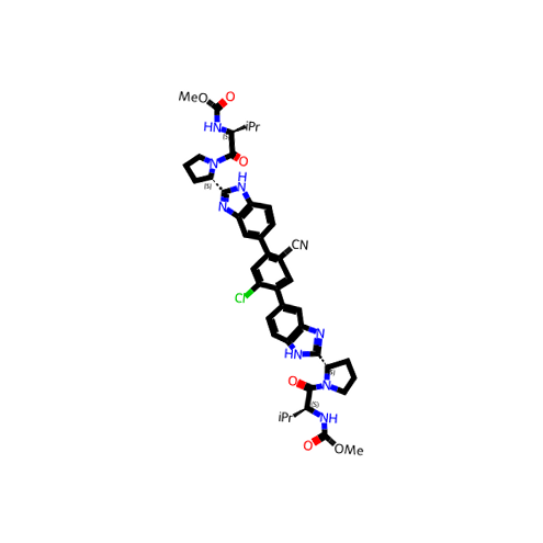 COC(=O)N[C@H](C(=O)N1CCC[C@H]1c1nc2cc(-c3cc(C#N)c(-c4ccc5[nH]c([C@@H]6CCCN6C(=O)[C@@H](NC(=O)OC)C(C)C)nc5c4)cc3Cl)ccc2[nH]1)C(C)C